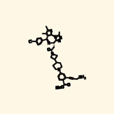 COC(=O)c1ccc(N2CCC(C3CN(C(=O)C[C@@H]4N=C(c5ccc(Cl)cc5)c5c(sc(C)c5C)-n5c(C)nnc54)C3)CC2)cc1C#CCN